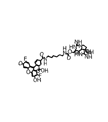 N=C1N[C@H]2C(COC(=O)NCCCCCCNC(=O)c3ccc(-c4c5cc(F)c(=O)cc-5oc5cc(O)c(F)cc45)c(C(=O)O)c3)NC(=N)N3CCC(O)(O)[C@]23N1